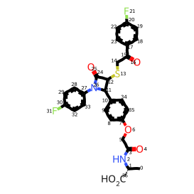 C[C@@H](NC(=O)COc1ccc(C2C(SCC(=O)c3ccc(F)cc3)C(=O)N2c2ccc(F)cc2)cc1)C(=O)O